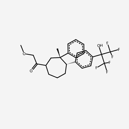 COCC(=O)C1CCC[C@@H](c2ccc(C(O)(C(F)(F)F)C(F)(F)F)cc2)[C@@](C)(c2ccccc2)C1